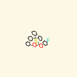 Fc1ccc(O[C@@H](COCc2ccccc2)CSC(c2ccccc2)(c2ccccc2)c2ccccc2)cc1